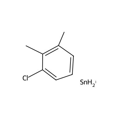 Cc1cccc(Cl)c1C.[SnH2]